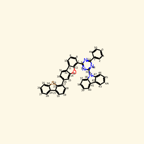 c1ccc(-c2nc(-c3cccc4c3oc3cc(-c5cccc6c5sc5ccccc56)ccc34)nc(-n3c4ccccc4c4ccccc43)n2)cc1